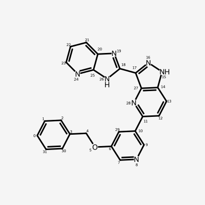 c1ccc(COc2cncc(-c3ccc4[nH]nc(-c5nc6cccnc6[nH]5)c4n3)c2)cc1